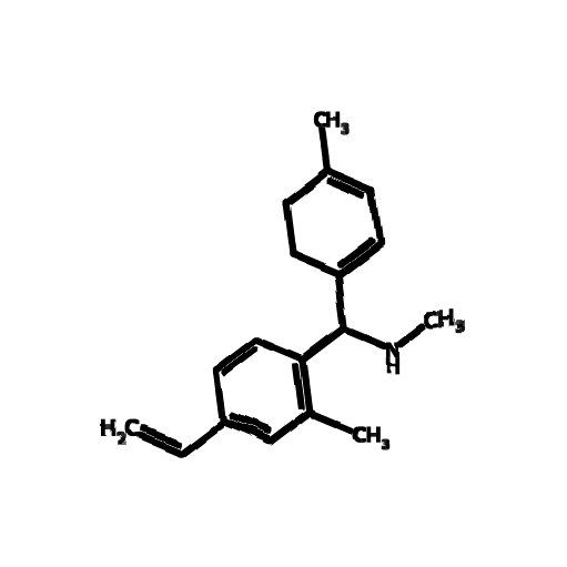 C=Cc1ccc(C(NC)C2=CC=C(C)CC2)c(C)c1